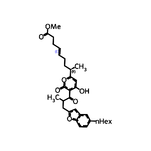 CCCCCCc1ccc2oc(CC(C)C(=O)c3c(O)cc([C@H](C)CC/C=C/CCC(=O)OC)oc3=O)cc2c1